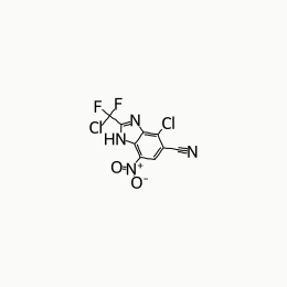 N#Cc1cc([N+](=O)[O-])c2[nH]c(C(F)(F)Cl)nc2c1Cl